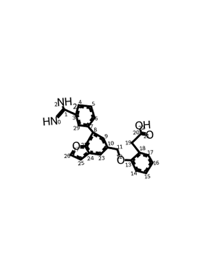 N=C(N)c1cccc(-c2cc(COc3ccccc3CC(=O)O)cc3ccoc23)c1